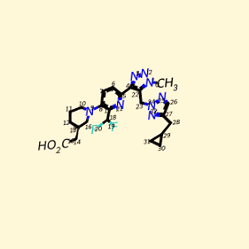 Cn1nnc(-c2ccc(N3CCC[C@H](CC(=O)O)C3)c(C(F)F)n2)c1Cn1ncc(CC2CC2)n1